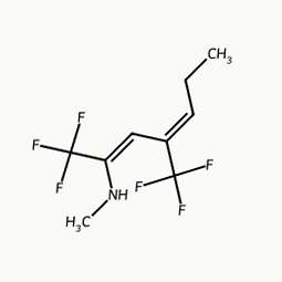 CC/C=C(\C=C(/NC)C(F)(F)F)C(F)(F)F